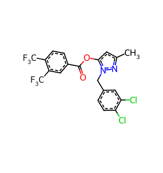 Cc1cc(OC(=O)c2ccc(C(F)(F)F)c(C(F)(F)F)c2)n(Cc2ccc(Cl)c(Cl)c2)n1